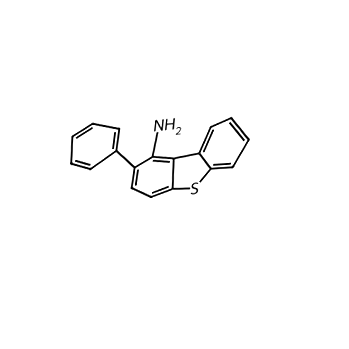 Nc1c(-c2ccccc2)ccc2sc3ccccc3c12